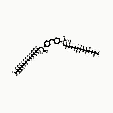 O=C(O)N(CC(F)(F)C(F)(F)C(F)(F)C(F)(F)C(F)(F)C(F)(F)C(F)(F)C(F)(F)C(F)(F)C(F)(F)C(F)(F)C(F)F)C1CCC(CC2CCC(N(CC(F)(F)C(F)(F)C(F)(F)C(F)(F)C(F)(F)C(F)(F)C(F)(F)C(F)(F)C(F)(F)C(F)(F)C(F)(F)C(F)F)C(=O)O)CC2)CC1